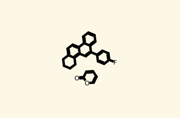 Fc1ccc(-c2cc3c4c(ccc3c3ccccc23)CCCC4)cc1.O=c1cccco1